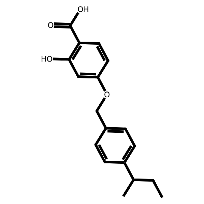 CCC(C)c1ccc(COc2ccc(C(=O)O)c(O)c2)cc1